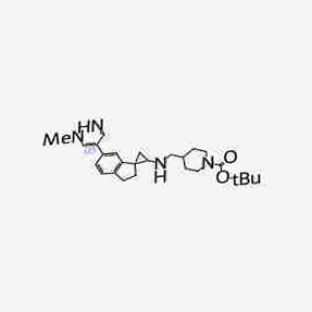 CN/C=C(\C=N)c1ccc2c(c1)C1(CC2)CC1NCC1CCN(C(=O)OC(C)(C)C)CC1